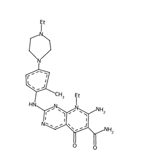 CCN1CCN(c2ccc(Nc3ncc4c(=O)c(C(N)=O)c(N)n(CC)c4n3)c(C)c2)CC1